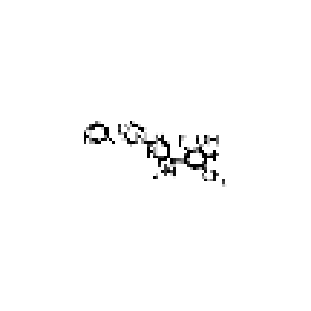 Cn1nc(-c2cc(C(F)(F)F)c(F)c(O)c2F)c2cnc(N3CCO[C@@H](Cc4cccnc4)C3)nc21